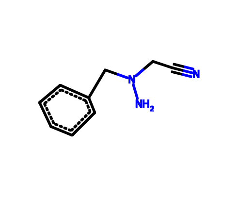 N#CCN(N)Cc1ccccc1